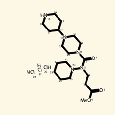 COC(=O)CCN(C(=O)N1CCN(C2CCNCC2)CC1)N1CCCCC1.Cl.Cl.Cl